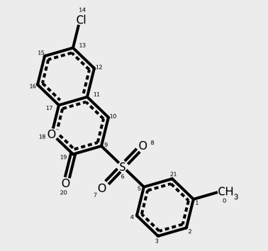 Cc1cccc(S(=O)(=O)c2cc3cc(Cl)ccc3oc2=O)c1